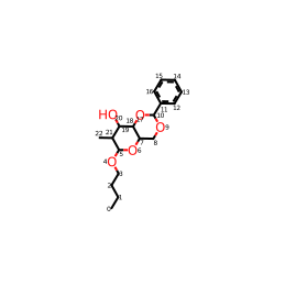 CCCCOC1OC2COC(c3ccccc3)OC2C(O)C1C